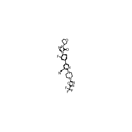 N#Cc1cc(-c2ccc(-n3cnn(C4CCOC4)c3=O)c(F)c2)cnc1N1CCN(c2nnc(C(F)(F)F)o2)CC1